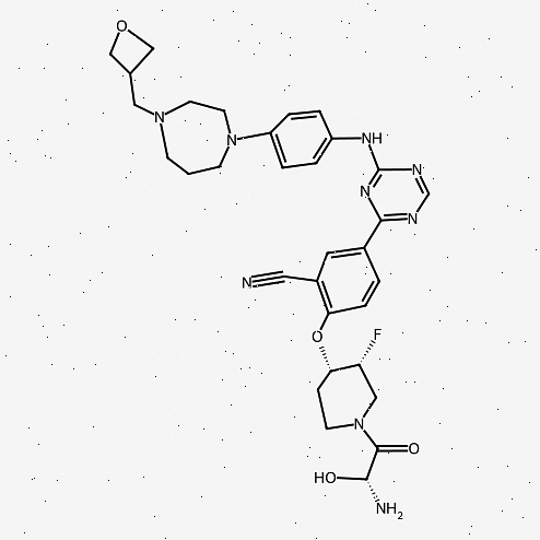 N#Cc1cc(-c2ncnc(Nc3ccc(N4CCCN(CC5COC5)CC4)cc3)n2)ccc1O[C@H]1CCN(C(=O)[C@H](N)O)C[C@H]1F